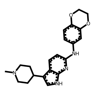 CN1CCC(c2c[nH]c3nc(Nc4ccc5c(c4)OCCO5)ccc23)CC1